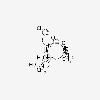 CO[C@]1(CC2CCCN(C(C)C)CC2)/C=C/C[C@H](C)[C@@H](C)S(=O)(=O)NC(=O)c2ccc3c(c2)N(CCCCc2cc(Cl)ccc2CO3)C[C@@H]2CC[C@H]21